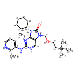 COc1ncccc1Nc1ncc2c(n1)n([C@H]1CCCC[C@H]1C)c(=O)n2COCC[Si](C)(C)C